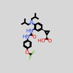 CC(C)CN(CC(C)C)c1ccc([C@H]2C[C@H]2C(=O)O)cc1NC(=O)Nc1ccc(OC(F)F)cc1